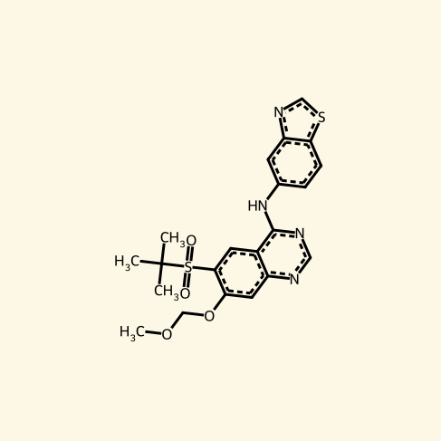 COCOc1cc2ncnc(Nc3ccc4scnc4c3)c2cc1S(=O)(=O)C(C)(C)C